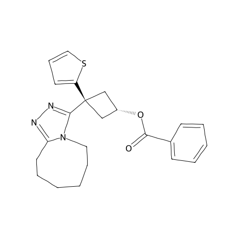 O=C(O[C@H]1C[C@@](c2cccs2)(c2nnc3n2CCCCCC3)C1)c1ccccc1